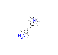 CCc1cc(CCc2cc(CC)c(N(C(C)CC)C(C)CC)c(CC)c2)cc(CC)c1N